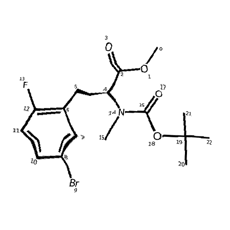 COC(=O)[C@H](Cc1cc(Br)ccc1F)N(C)C(=O)OC(C)(C)C